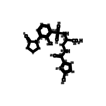 CCc1c(N2CCCC2=O)cccc1S(=O)(=O)NC(CNC(=O)c1ccc(Cl)s1)C(=O)O